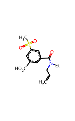 C=CCN(CC)C(=O)c1cc(C(=O)O)cc(S(C)(=O)=O)c1